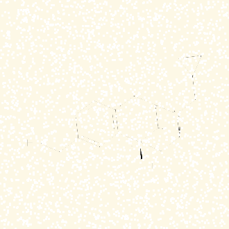 CC1C2Cc3ccc(CO)cc3[C@@]1(C)CCN2CC1CC1